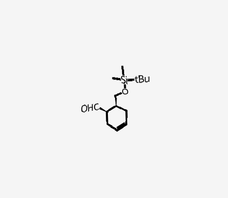 CC(C)(C)[Si](C)(C)OC[C@H]1CC=CC[C@H]1C=O